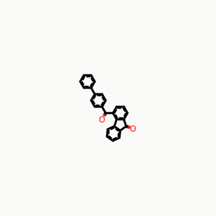 O=C(c1ccc(-c2ccccc2)cc1)c1cccc2c1-c1ccccc1C2=O